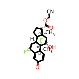 C[C@]12C[C@H](O)[C@@]3(F)[C@@H](C[C@H](F)C4=CC(=O)C=C[C@@]43C)C1CC[C@@H]2C(=O)OCC#N